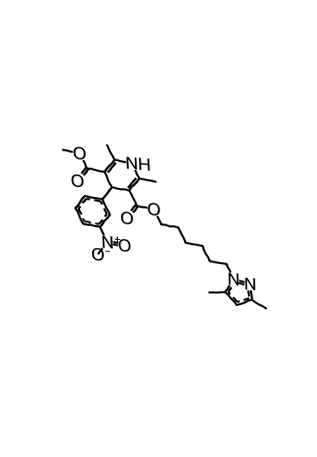 COC(=O)C1=C(C)NC(C)=C(C(=O)OCCCCCCn2nc(C)cc2C)C1c1cccc([N+](=O)[O-])c1